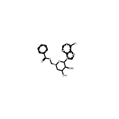 CC(=O)OC1C[C@@H](COC(=O)c2ccccc2)OC(n2cnc3c(Cl)ncnc32)C1OC(C)=O